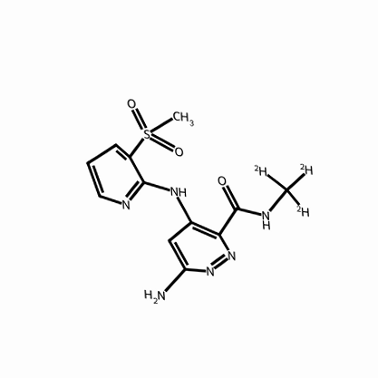 [2H]C([2H])([2H])NC(=O)c1nnc(N)cc1Nc1ncccc1S(C)(=O)=O